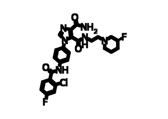 NC(=O)c1ncn(-c2ccc(NC(=O)c3ccc(F)cc3Cl)cc2)c1C(=O)NCCN1CCC[C@H](F)C1